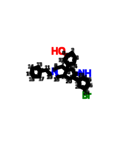 Oc1cccc(C23CCN(CCc4ccccc4)CC2Cc2c([nH]c4ccc(Br)cc24)C3)c1